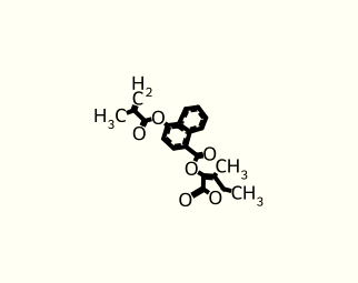 C=C(C)C(=O)Oc1ccc(C(=O)OC2=C(C)C(C)OC2=O)c2ccccc12